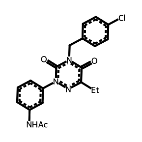 CCc1nn(-c2cccc(NC(C)=O)c2)c(=O)n(Cc2ccc(Cl)cc2)c1=O